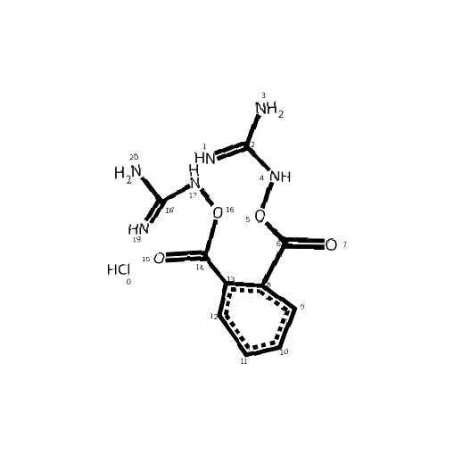 Cl.N=C(N)NOC(=O)c1ccccc1C(=O)ONC(=N)N